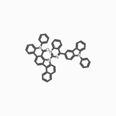 O=c1c2c(ccc3c4c5ccccc5ccc4n(-c4nc(-c5ccc6c(c5)c5ccccc5n6-c5ccccc5)c5ccccc5n4)c32)c2ccccc2n1-c1ccccc1